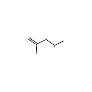 C=C(C)C[CH]C